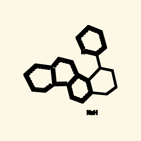 [NaH].c1ccc(C2CCCc3ccc4c(ccc5ccccc54)c32)nc1